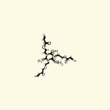 C=CC(=O)COCCN1C(N)N(CCOC(=O)C=C)C(O)N(CCOC(=O)C=C)C1N